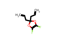 C=CCC1(CC=C)OC(F)=C(F)O1